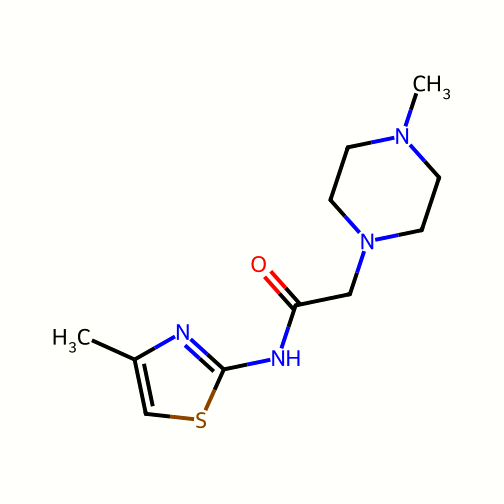 Cc1csc(NC(=O)CN2CCN(C)CC2)n1